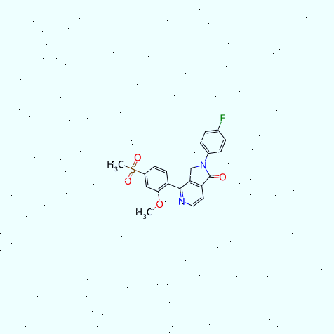 COc1cc(S(C)(=O)=O)ccc1-c1nccc2c1CN(c1ccc(F)cc1)C2=O